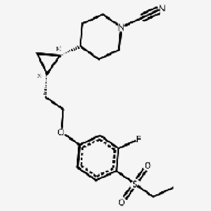 CCS(=O)(=O)c1ccc(OCC[C@@H]2C[C@@H]2C2CCN(C#N)CC2)cc1F